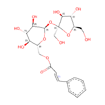 O=C(/C=C/c1ccccc1)OC[C@H]1O[C@H](O[C@]2(CO)O[C@H](CO)[C@@H](O)[C@@H]2O)[C@H](O)[C@@H](O)[C@@H]1O